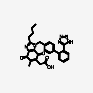 CCCCc1nc2c(n1Cc1ccc(-c3ccccc3-c3nnn[nH]3)cc1)C(=O)C(CC(=O)O)=C(C)C2=O